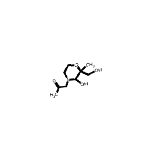 CC(=O)CN1CCOC(C)(CO)C1O